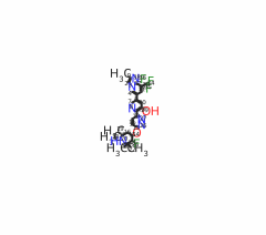 Cc1cn2cc(-c3cnc(-c4ccc(O[C@@H]5CC(C)(C)NC(C)(C)[C@@H]5F)nn4)c(O)c3)cc(C(F)(F)F)c2n1